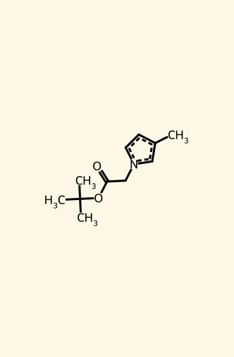 Cc1ccn(CC(=O)OC(C)(C)C)c1